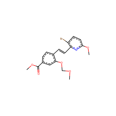 COCOc1cc(C(=O)OC)ccc1/C=C/c1nc(OC)ccc1Br